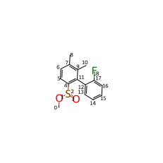 COS(=O)c1ccc(C)c(C)c1-c1ccccc1F